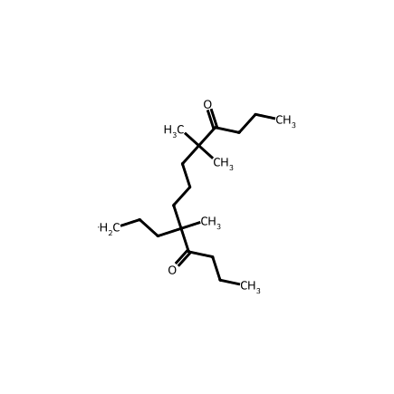 [CH2]CCC(C)(CCCC(C)(C)C(=O)CCC)C(=O)CCC